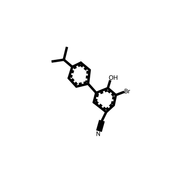 CC(C)c1ccc(-c2cc(C#N)cc(Br)c2O)cc1